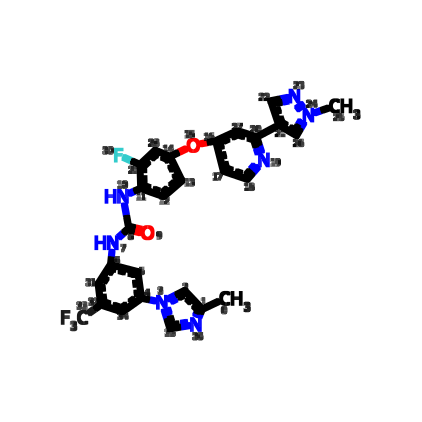 Cc1cn(-c2cc(NC(=O)Nc3ccc(Oc4ccnc(-c5cnn(C)c5)c4)cc3F)cc(C(F)(F)F)c2)cn1